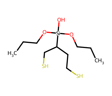 CCCO[Si](O)(OCCC)C(CS)CCS